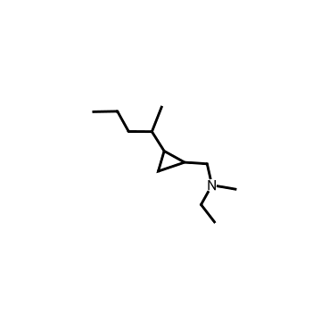 CCCC(C)C1CC1CN(C)CC